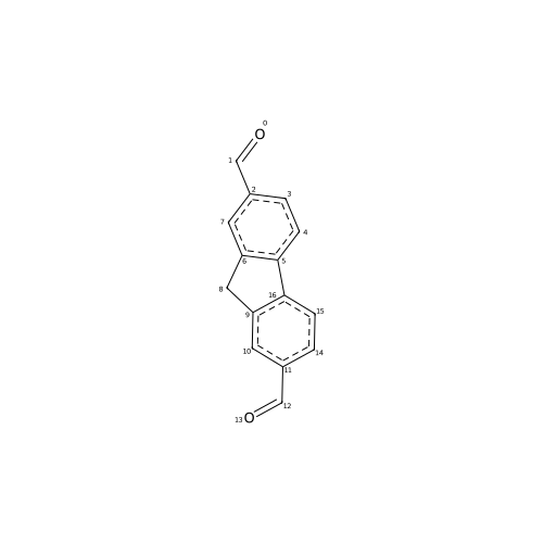 O=Cc1ccc2c(c1)Cc1cc(C=O)ccc1-2